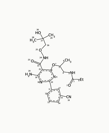 CCC(=O)NCC(C)Oc1nc(-c2cccc(C#N)c2)nc(N)c1C(=O)NOCC(C)(C)O